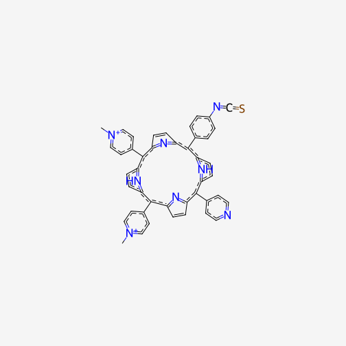 C[n+]1ccc(-c2c3nc(c(-c4ccncc4)c4ccc([nH]4)c(-c4ccc(N=C=S)cc4)c4nc(c(-c5cc[n+](C)cc5)c5ccc2[nH]5)C=C4)C=C3)cc1